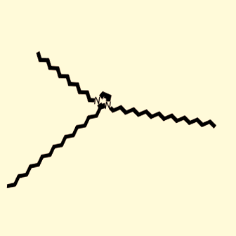 CCCCCCCCCCCCCCCCCn1cc[n+](CCCCCCCCCCCC)c1CCCCCCCCCCCCCCCC